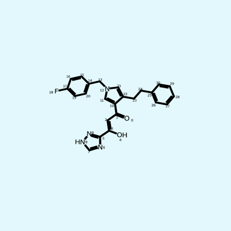 O=C(C=C(O)c1nc[nH]n1)c1cn(Cc2ccc(F)cc2)cc1CCc1ccccc1